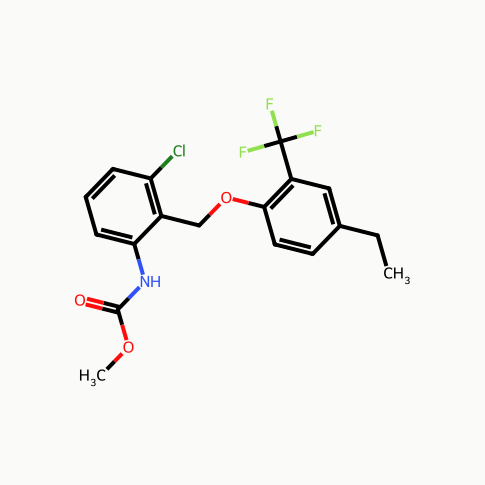 CCc1ccc(OCc2c(Cl)cccc2NC(=O)OC)c(C(F)(F)F)c1